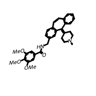 COc1cc(C(=O)NCc2ccc3c(c2)C(=C2CCN(C)CC2)c2ccccc2C=C3)cc(OC)c1OC